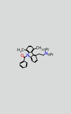 CCCN(CCC)CCc1cccc2c1c1c(C)ccc(C)c1n2C(=O)c1ccccc1